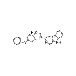 CCN(Cc1cccc(Oc2ccccc2)c1)c1cc2c(cn1)[nH]c1ccccc12